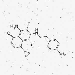 Nc1ccc(CCNc2c(F)c(N)c3c(=O)ccn(C4CC4)c3c2F)cc1